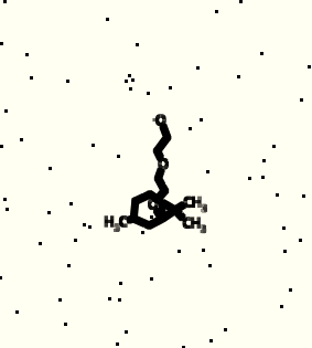 CC1CCC2C(C)(C)C2(OCCOCC[O])C1